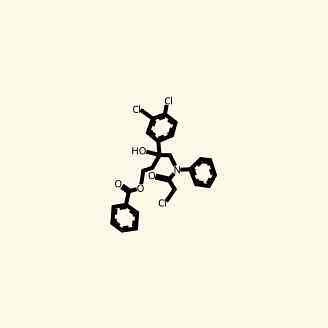 O=C(OCCC(O)(CN(C(=O)CCl)c1ccccc1)c1ccc(Cl)c(Cl)c1)c1ccccc1